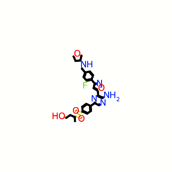 CC(CCO)S(=O)(=O)c1ccc(-c2cnc(N)c(-c3cc(-c4ccc(CN[C@H]5CCOC5)cc4F)no3)n2)cc1